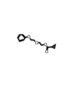 O=C(OCCOCCOc1ccccc1)C1CC1